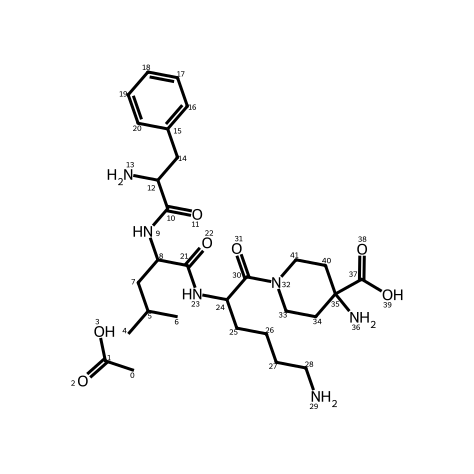 CC(=O)O.CC(C)CC(NC(=O)C(N)Cc1ccccc1)C(=O)NC(CCCCN)C(=O)N1CCC(N)(C(=O)O)CC1